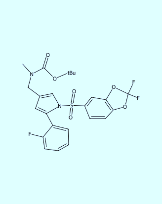 CN(Cc1cc(-c2ccccc2F)n(S(=O)(=O)c2ccc3c(c2)OC(F)(F)O3)c1)C(=O)OC(C)(C)C